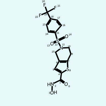 O=C(NO)c1cc2c(s1)CCN(S(=O)(=O)c1ccc(C(F)(F)F)cc1)C2